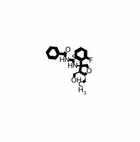 CC[C@H]1OC[C@@](NC(=S)NC(=O)c2ccccc2)(c2ccccc2F)[C@@H]1CO